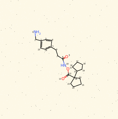 NCc1ccc(CCC(=O)NOC(=O)C2(C3CCCC3)CCCC2)cc1